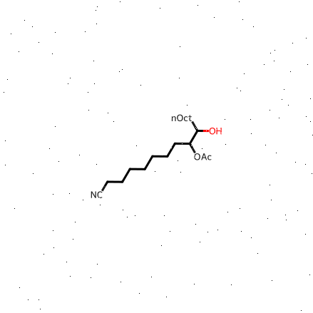 CCCCCCCCC(O)C(CCCCCCCC#N)OC(C)=O